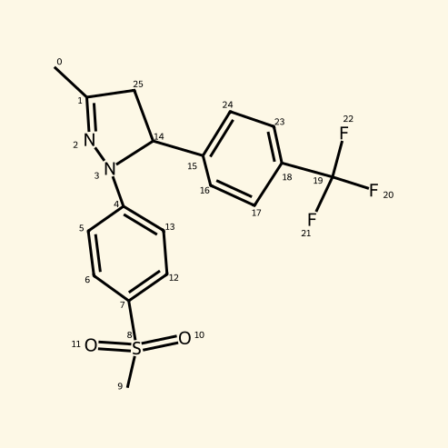 CC1=NN(c2ccc(S(C)(=O)=O)cc2)C(c2ccc(C(F)(F)F)cc2)C1